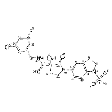 CS(=O)(=O)N1CCc2cc(N3CCC(O)(C(=O)NCc4cc(F)cc(Cl)c4)C3=O)ccc21